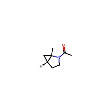 CC(=O)N1CC[C@@H]2C[C@@]21C